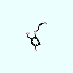 C=CCOc1ccc(Br)cc1CO